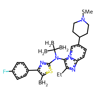 Bc1sc(N(c2c(CC)nc3ccc(C4CCN(SC)CC4)cn23)C(B)(B)B)nc1-c1ccc(F)cc1